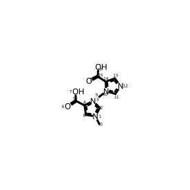 Cn1cnc(C(=O)O)c1.Cn1cncc1C(=O)O